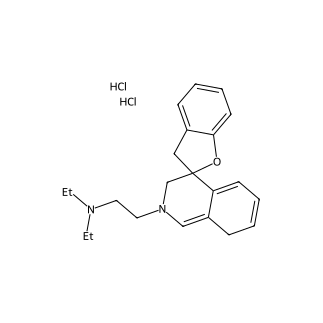 CCN(CC)CCN1C=C2CC=CC=C2C2(Cc3ccccc3O2)C1.Cl.Cl